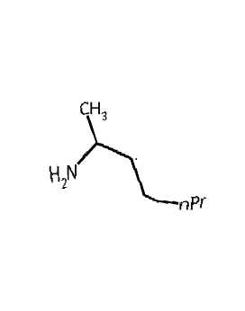 CCCC[CH]C(C)N